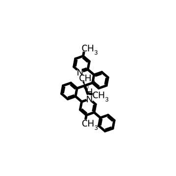 CC[C@@](C)(c1ccccc1-c1cc(C)ccn1)c1ccccc1C1C=C(C)C(c2ccccc2)=CN1